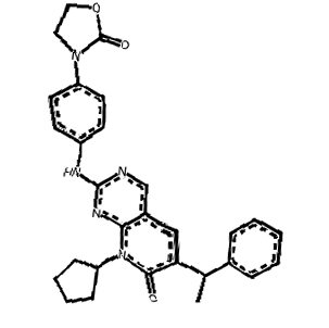 CC(c1ccccc1)c1cc2cnc(Nc3ccc(N4CCOC4=O)cc3)nc2n(C2CCCC2)c1=O